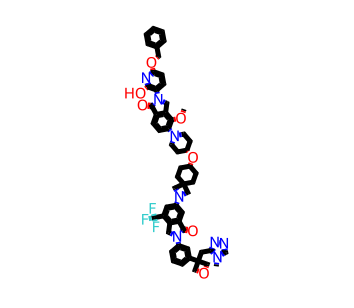 COc1c(N2CCC(OC3CCC4(CC3)CN(c3cc5c(c(C(F)(F)F)c3)CN(c3cccc(C6(Cc7nncn7C)COC6)c3)C5=O)C4)CC2)ccc2c1CN(c1ccc(OCc3ccccc3)nc1O)C2=O